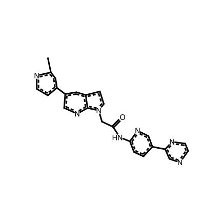 Cc1cc(-c2cnc3c(ccn3CC(=O)Nc3ccc(-c4cnccn4)cn3)c2)ccn1